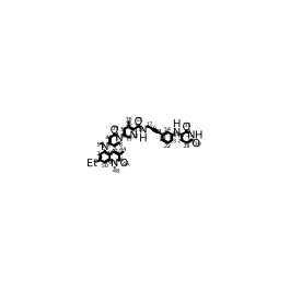 CCc1cc(N(C)c2ccn(-c3cnc(C(=O)NCC#Cc4cccc(NC5CCC(=O)NC5=O)c4)c(C)c3)c(=O)c2)c2cc(C)c(=O)n(C)c2c1